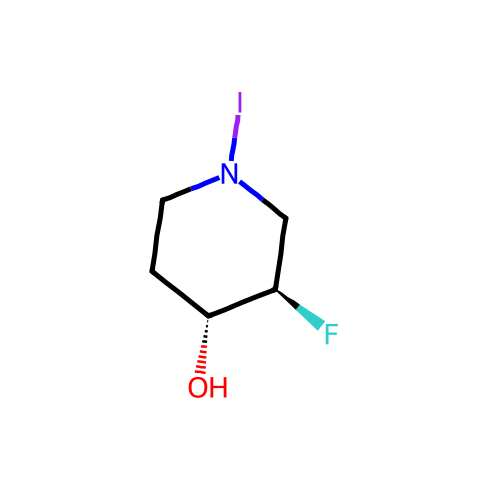 O[C@@H]1CCN(I)C[C@H]1F